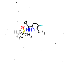 Cc1nc([C@H](N[S+]([O-])C(C)(C)C)C2CC2)ccc1F